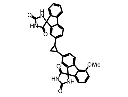 COc1cccc2c1-c1ccc(C3CC3c3ccc4c(c3)[C@@]3(NC(=O)NC3=O)c3ccccc3-4)cc1C21NC(=O)NC1=O